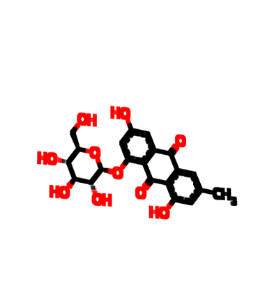 Cc1cc(O)c2c(c1)C(=O)c1cc(O)cc(O[C@@H]3O[C@H](CO)[C@@H](O)[C@H](O)[C@H]3O)c1C2=O